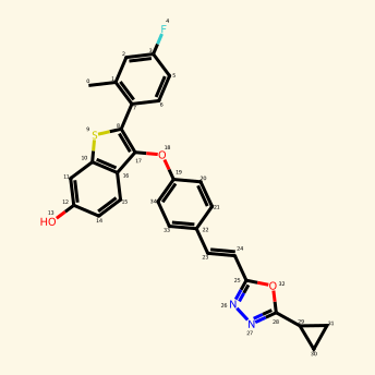 Cc1cc(F)ccc1-c1sc2cc(O)ccc2c1Oc1ccc(C=Cc2nnc(C3CC3)o2)cc1